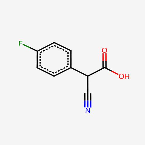 N#CC(C(=O)O)c1ccc(F)cc1